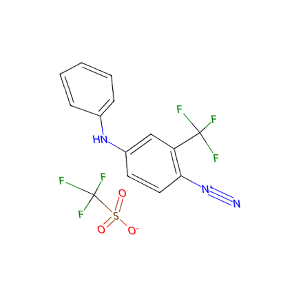 N#[N+]c1ccc(Nc2ccccc2)cc1C(F)(F)F.O=S(=O)([O-])C(F)(F)F